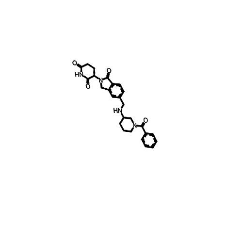 O=C1CCC(N2Cc3cc(CNC4CCCN(C(=O)c5ccccc5)C4)ccc3C2=O)C(=O)N1